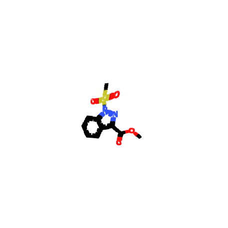 COC(=O)c1nn(S(C)(=O)=O)c2ccccc12